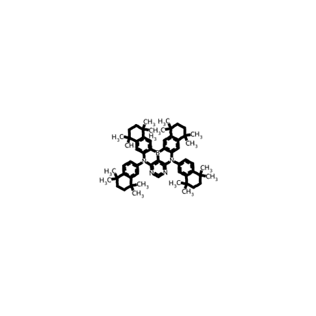 CC1(C)CCC(C)(C)c2cc(N3c4cc5c(cc4B4c6cc7c(cc6N(c6ccc8c(c6)C(C)(C)CCC8(C)C)c6ncnc3c64)C(C)(C)CCC7(C)C)C(C)(C)CCC5(C)C)ccc21